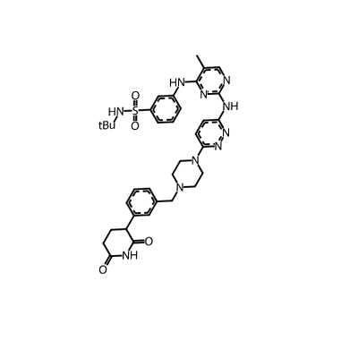 Cc1cnc(Nc2ccc(N3CCN(Cc4cccc(C5CCC(=O)NC5=O)c4)CC3)nn2)nc1Nc1cccc(S(=O)(=O)NC(C)(C)C)c1